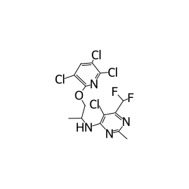 Cc1nc(NC(C)COc2nc(Cl)c(Cl)cc2Cl)c(Cl)c(C(F)F)n1